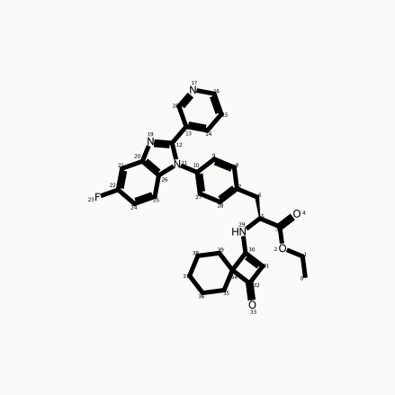 CCOC(=O)[C@H](Cc1ccc(-n2c(-c3cccnc3)nc3cc(F)ccc32)cc1)NC1=CC(=O)C12CCCCC2